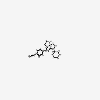 N#Cc1ccc(CN2CCCC23CCN(C2CCCCC2)C3=O)cc1